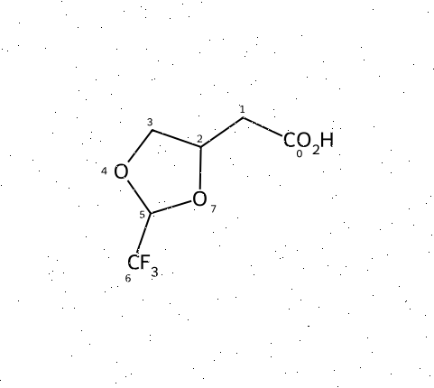 O=C(O)CC1COC(C(F)(F)F)O1